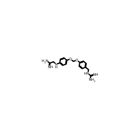 N=C(N)CNc1ccc(OCOc2ccc(CNC(=N)N)cc2)cc1